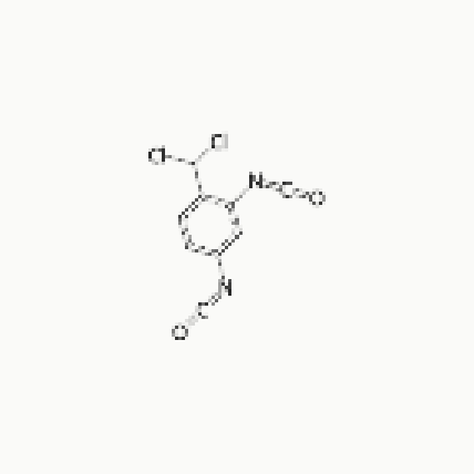 O=C=Nc1ccc(C(Cl)Cl)c(N=C=O)c1